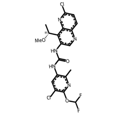 CO[C@H](C)c1c(NC(=O)Nc2cc(Cl)c(OC(F)F)nc2C)cnc2ccc(Cl)nc12